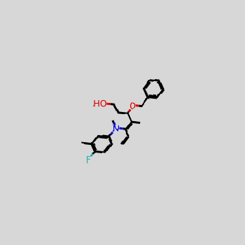 C=C/C(=C(\C)C(CCO)OCc1ccccc1)N(C)c1ccc(F)c(C)c1